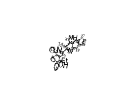 CC[C@@]1(O)C(=O)OCc2c1cc1n(c2=O)Cc2c-1nc1cc3c(cc1c2CN)CC=C3